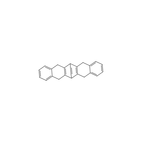 C1=CC2C3=C(Cc4ccccc4C3)C1C1=C2Cc2ccccc2C1